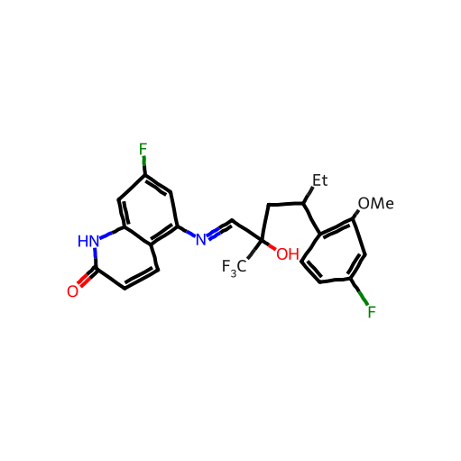 CCC(CC(O)(C=Nc1cc(F)cc2[nH]c(=O)ccc12)C(F)(F)F)c1ccc(F)cc1OC